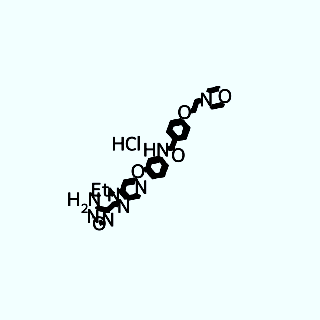 CCn1c(-c2nonc2N)nc2cnc(Oc3cccc(NC(=O)c4ccc(OCCN5CCOCC5)cc4)c3)cc21.Cl